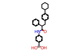 O=C(Nc1ccc(B(O)O)cc1)C(Cc1ccc(C2CCCCC2)cc1)c1ccccc1